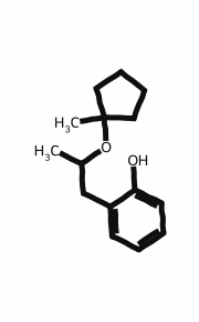 CC(Cc1ccccc1O)OC1(C)CCCC1